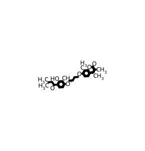 Cc1c(OCCCCOc2ccc3c(C)c(C)c(=O)oc3c2C)ccc(C(=O)CC(C)C)c1O